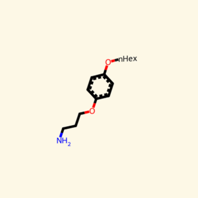 CCCCCCOc1ccc(OCCCN)cc1